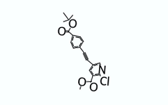 COC(=O)c1cc(C#Cc2ccc(C(=O)OC(C)(C)C)cc2)cnc1Cl